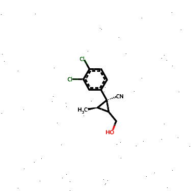 C[C@@H]1C(CO)[C@]1(C#N)c1ccc(Cl)c(Cl)c1